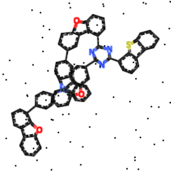 c1ccc2c(c1)oc1cc(-c3nc(-c4cccc5c4sc4ccccc45)nc(-c4cccc5oc6ccc(-c7ccc8c(c7)c7ccccc7n8-c7ccc(-c8cccc9c8oc8ccccc89)cc7)cc6c45)n3)ccc12